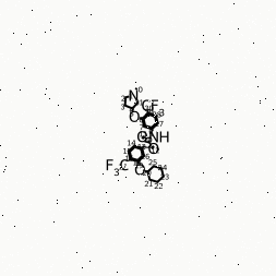 CN1CCC(Oc2cc(NS(=O)(=O)c3ccc(C(F)(F)F)c(OC4CCCCC4)c3)ccc2C(F)(F)F)C1